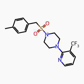 Cc1ccc(CS(=O)(=O)N2CCN(c3ncccc3C(F)(F)F)CC2)cc1